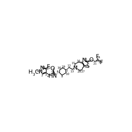 Cn1cc(CC(=O)N[C@H]2CC[C@H](CCN3CCc4nc(OCC(F)F)sc4CC3)CC2)c(F)n1